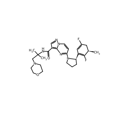 C[C@@H]1CC(F)=CC([C@H]2CCCN2c2ccn3ncc(C(=O)NC(C)(C)CN4CCOCC4)c3n2)=C1F